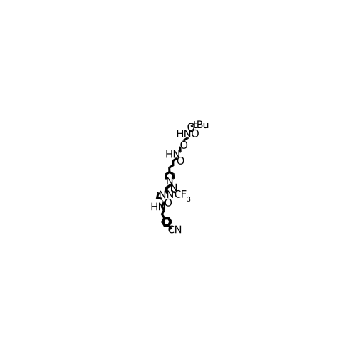 CC(C)(C)OC(=O)NCCOCCNC(=O)CCCC1CCN(c2cc(N3CC[C@H]3C(=O)NCCc3ccc(C#N)cc3)nc(C(F)(F)F)n2)CC1